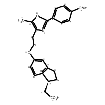 COc1ccc(-c2nc(CCOc3ccc4c(c3)CC[C@H]4CC(=O)O)c(C)o2)cc1